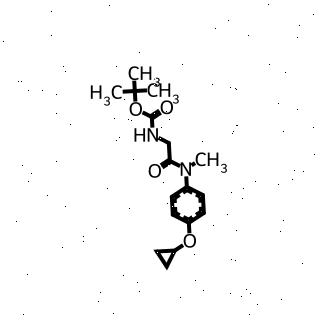 CN(C(=O)CNC(=O)OC(C)(C)C)c1ccc(OC2CC2)cc1